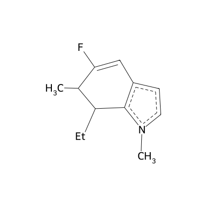 CCC1c2c(ccn2C)C=C(F)C1C